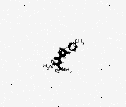 CN1CCN(Cc2cccc(-c3cnc(N)c(C(N)=O)c3)c2)CC1